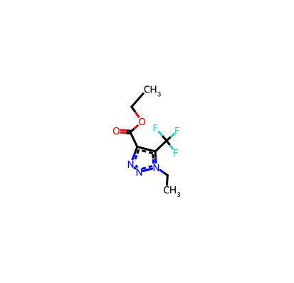 CCOC(=O)c1nnn(CC)c1C(F)(F)F